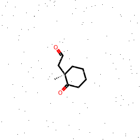 C[C@]1(CC=O)CCCCC1=O